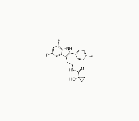 O=C(NCCc1c(-c2ccc(F)cc2)[nH]c2c(F)cc(F)cc12)C1(O)CC1